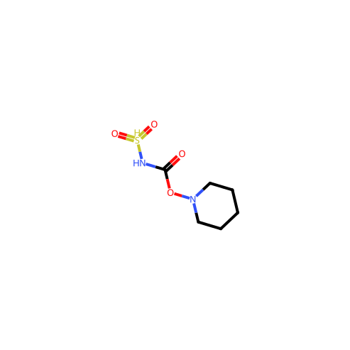 O=C(N[SH](=O)=O)ON1CCCCC1